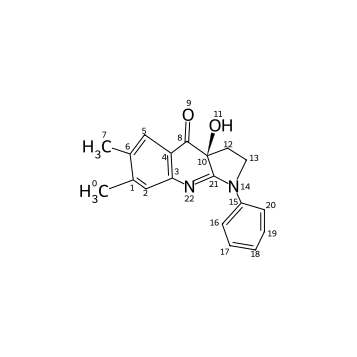 Cc1cc2c(cc1C)C(=O)[C@]1(O)CCN(c3ccccc3)C1=N2